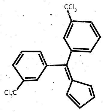 ClC(Cl)(Cl)c1cccc(C(=C2[C]=CC=C2)c2cccc(C(Cl)(Cl)Cl)c2)c1